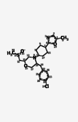 Cc1cnc(C2CCC(N3CC(C[S+](C)[O-])OCC3Cc3ccc(Cl)cc3)CC2)o1